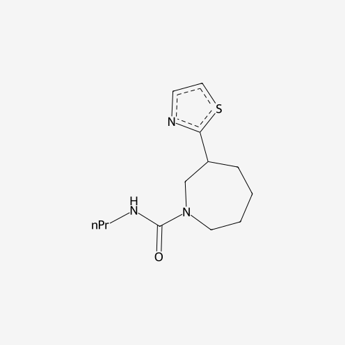 CCCNC(=O)N1CCCCC(c2nccs2)C1